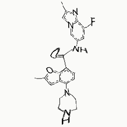 Cc1cn2cc(NC(=O)c3ccc(N4CCNCC4)c4cc(C)oc34)cc(F)c2n1